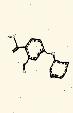 C=C(OC)c1ccc(Oc2ccccc2)cc1CCl